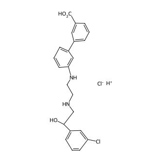 O=C(O)c1cccc(-c2cccc(NCCNCC(O)c3cccc(Cl)c3)c2)c1.[Cl-].[H+]